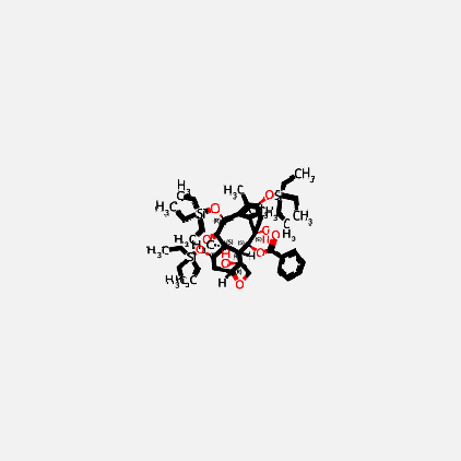 CC[Si](CC)(CC)O[C@H]1C(=O)[C@]2(C)[C@@H](O[Si](CC)(CC)CC)C[C@H]3OC[C@@]3(O)[C@H]2[C@H](OC(=O)c2ccccc2)[C@]2(O)C[C@H](O[Si](CC)(CC)CC)C(C)=C1C2(C)C